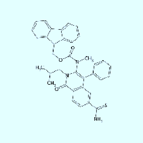 CC(C)Cn1c(N(C)C(=O)OCC2c3ccccc3-c3ccccc32)c(-c2ccccc2)c2cc(C(N)=S)ccc2c1=O